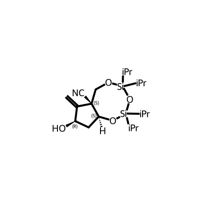 C=C1[C@H](O)C[C@@H]2O[Si](C(C)C)(C(C)C)O[Si](C(C)C)(C(C)C)OC[C@@]12C#N